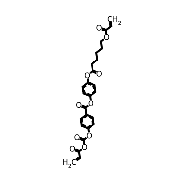 C=CC(=O)OCCCCCC(=O)Oc1ccc(OC(=O)c2ccc(OC(=O)OC(=O)C=C)cc2)cc1